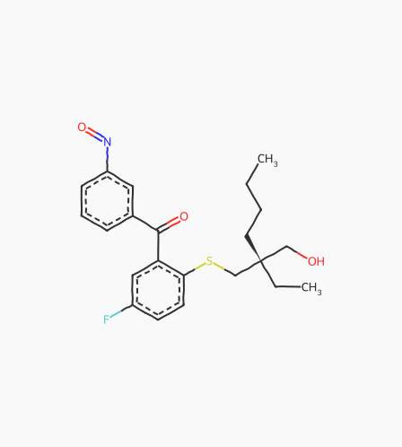 CCCC[C@](CC)(CO)CSc1ccc(F)cc1C(=O)c1cccc(N=O)c1